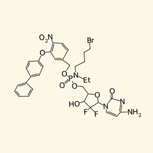 CCN(CCCCBr)P(=O)(OCc1ccc([N+](=O)[O-])c(Oc2ccc(-c3ccccc3)cc2)c1)OCC1OC(n2ccc(N)nc2=O)C(F)(F)C1O